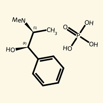 CN[C@@H](C)[C@H](O)c1ccccc1.O=P(O)(O)O